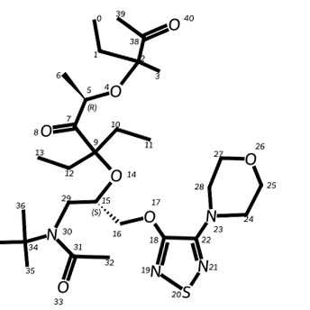 CCC(C)(O[C@H](C)C(=O)C(CC)(CC)O[C@H](COc1nsnc1N1CCOCC1)CN(C(C)=O)C(C)(C)C)C(C)=O